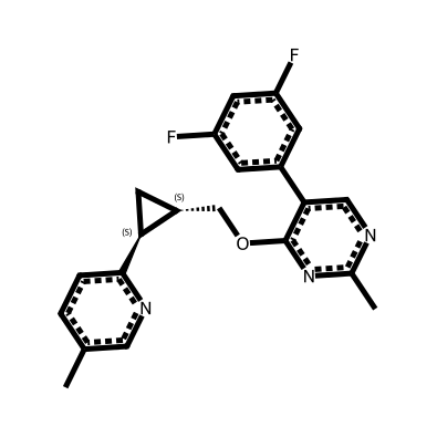 Cc1ccc([C@H]2C[C@@H]2COc2nc(C)ncc2-c2cc(F)cc(F)c2)nc1